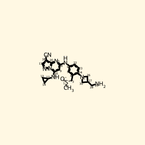 C[S+]([O-])Cc1cc(Nc2cc(NC3CC3)n3ncc(C#N)c3n2)ccc1N1CC(CN)C1